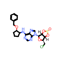 O=S1O[C@@H]2[C@H](O1)[C@@H](CCl)O[C@H]2n1cnc2c(NC3CCC[C@H]3OCc3ccccc3)ncnc21